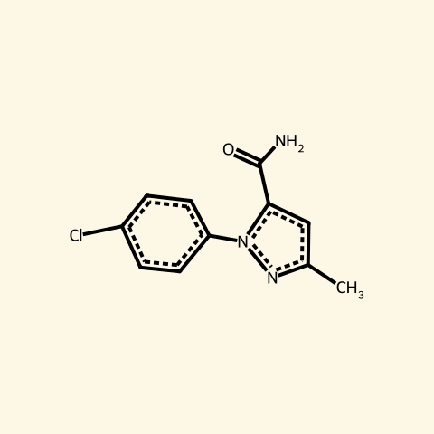 Cc1cc(C(N)=O)n(-c2ccc(Cl)cc2)n1